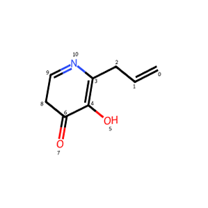 C=CCC1=C(O)C(=O)CC=N1